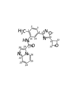 Cc1ccc(-c2noc(C3COC3)n2)cc1NC(=O)c1cnc2ccccn12